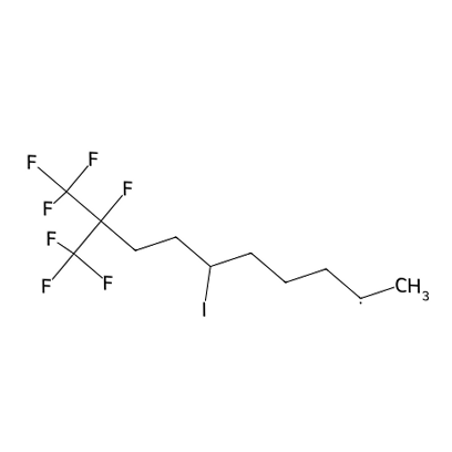 C[CH]CCCC(I)CCC(F)(C(F)(F)F)C(F)(F)F